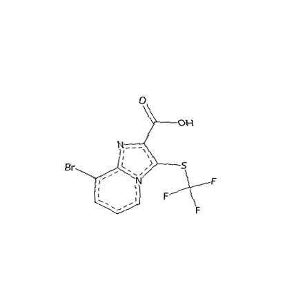 O=C(O)c1nc2c(Br)cccn2c1SC(F)(F)F